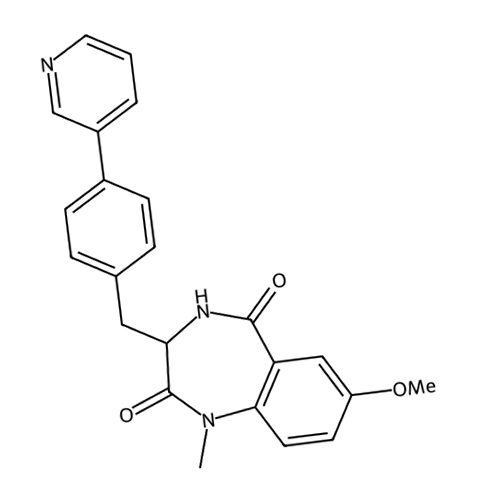 COc1ccc2c(c1)C(=O)NC(Cc1ccc(-c3cccnc3)cc1)C(=O)N2C